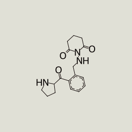 O=C(c1ccccc1CNN1C(=O)CCCC1=O)C1CCCN1